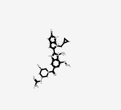 COc1cc(C(=O)N2C[C@H](F)C[C@@H](OC(N)=O)C2)cc2nc(-c3cc4cc(Br)sc4n3CC3CC3)n(C)c12